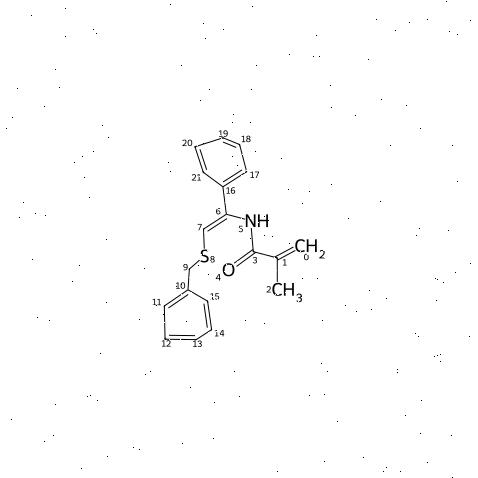 C=C(C)C(=O)N/C(=C\SCc1ccccc1)c1ccccc1